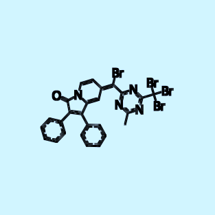 Cc1nc(C(Br)=C2C=CN3C(=O)C(c4ccccc4)=C(c4ccccc4)C3=C2)nc(C(Br)(Br)Br)n1